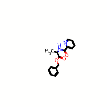 CC(NC(=O)c1ccccn1)C(=O)OCc1ccccc1